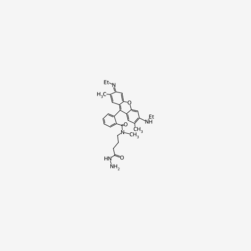 CC/N=c1/cc2oc3cc(NCC)c(C)cc3c(-c3ccccc3C(=O)N(C)CCCC(=O)NN)c-2cc1C